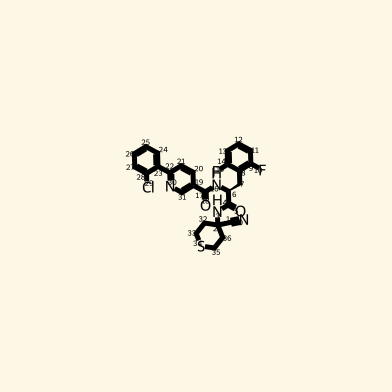 N#CC1(NC(=O)[C@H](Cc2c(F)cccc2F)NC(=O)c2ccc(-c3ccccc3Cl)nc2)CCSCC1